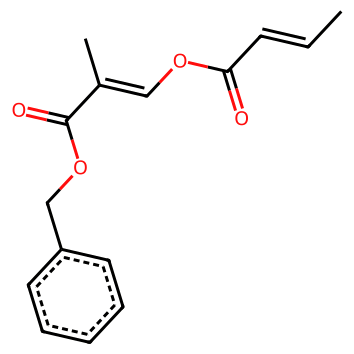 CC=CC(=O)OC=C(C)C(=O)OCc1ccccc1